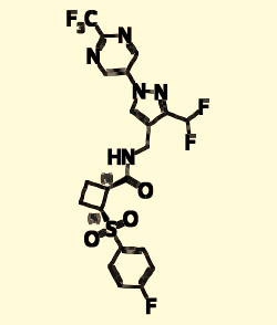 O=C(NCc1cn(-c2cnc(C(F)(F)F)nc2)nc1C(F)F)[C@@H]1CC[C@@H]1S(=O)(=O)c1ccc(F)cc1